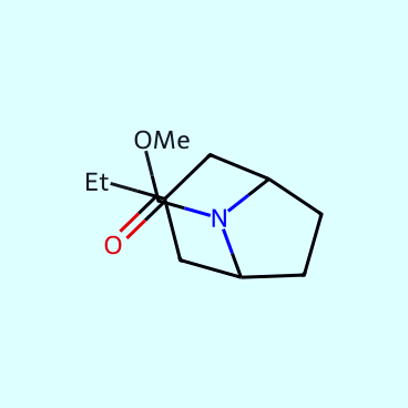 CCC1CC2CCC(C1)N2C(=O)OC